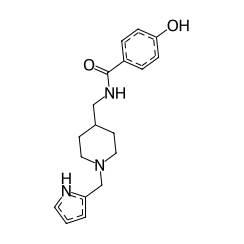 O=C(NCC1CCN(Cc2ccc[nH]2)CC1)c1ccc(O)cc1